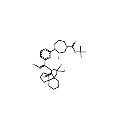 C[C@H]1CN(C(=O)OC(C)(C)C)CCCN1c1nccc(/C(=N\O)C2CC(F)(F)CC3(CCCCC34OCCO4)C2=O)n1